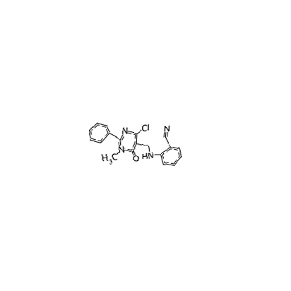 Cn1c(-c2ccccc2)nc(Cl)c(CNc2ccccc2C#N)c1=O